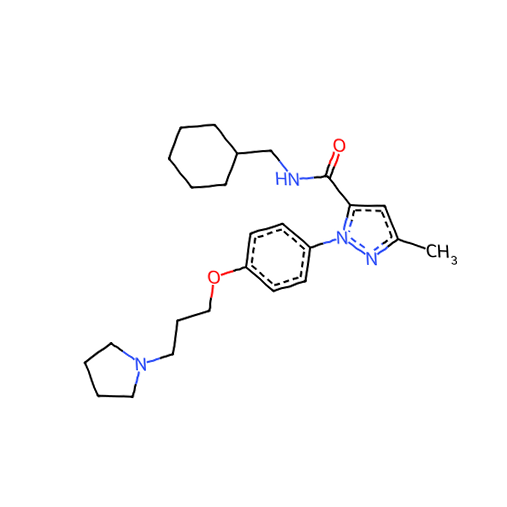 Cc1cc(C(=O)NCC2CCCCC2)n(-c2ccc(OCCCN3CCCC3)cc2)n1